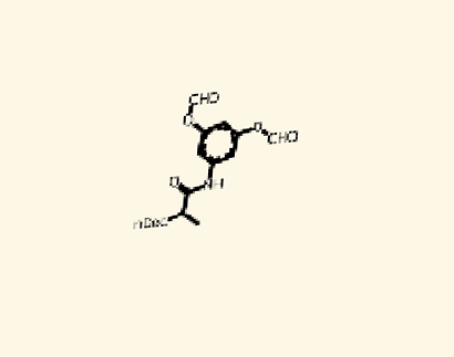 CCCCCCCCCCC(C)C(=O)Nc1cc(OC=O)cc(OC=O)c1